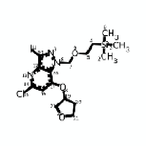 C[Si](C)(C)CCOCn1nc(I)c2nc(Cl)cc(OC3CCOC3)c21